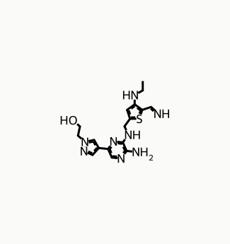 CCNc1cc(CNc2nc(-c3cnn(CCO)c3)cnc2N)sc1C=N